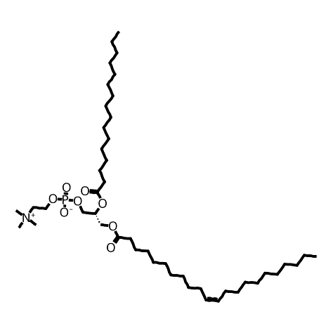 CCCCCCCCCC/C=C\CCCCCCCCCC(=O)OC[C@H](COP(=O)([O-])OCC[N+](C)(C)C)OC(=O)CCCCCCCCCCCCCCC